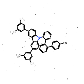 N#Cc1ccc(-c2ccccc2-c2ccccc2-n2c3ccc(-c4cc(C(F)(F)F)cc(C(F)(F)F)c4)cc3c3cc(-c4cc(C(F)(F)F)cc(C(F)(F)F)c4)ccc32)cc1